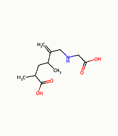 C=C(CNCC(=O)O)C(C)CC(C)C(=O)O